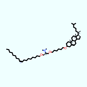 CCCCCCCC/C=C\CCCCCCCCOC[C@H](COCCCCCCO[C@H]1CC[C@@]2(C)C(=CCC3C2CC[C@@]2(C)C3CC[C@@H]2[C@H](C)CCCC(C)C)C1)N(C)C